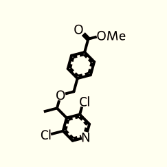 COC(=O)c1ccc(COC(C)c2c(Cl)cncc2Cl)cc1